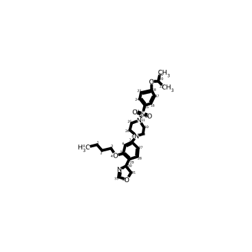 CCCCOc1cc(N2CCN(S(=O)(=O)c3ccc(OC(C)C)cc3)CC2)ccc1C1COC=N1